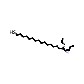 CC/C=C\[C@@H](CCCCCCCCCCCCCCCS)SCC